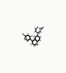 C=N/C=C(\C=C/C)c1ccc2nccc(-c3ccc(C)nc3)c2c1